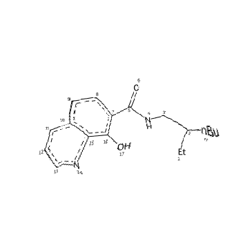 CCCCC(CC)CNC(=O)c1ccc2cccnc2c1O